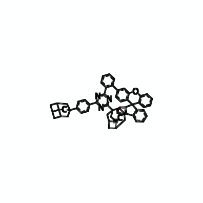 c1ccc2c(c1)Oc1cc(-c3ccccc3-c3nc(-c4ccc(C56CC7CC8CC(C5)C87C6)cc4)nc(C45CC6CC7CC(C4)[C@]7(C6)C5)n3)ccc1C21c2ccccc2-c2ccccc21